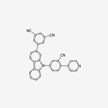 N#Cc1cc(C#N)cc(-c2ccc3c4ccccc4n(-c4ccc(-c5ccncc5)c(C#N)c4)c3c2)c1